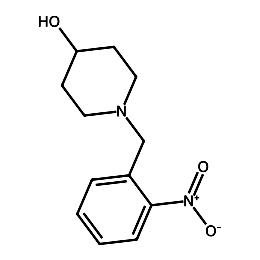 O=[N+]([O-])c1ccccc1CN1CCC(O)CC1